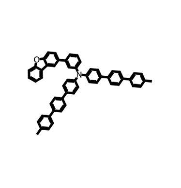 Cc1ccc(-c2ccc(-c3ccc(N(c4ccc(-c5ccc(-c6ccc(C)cc6)cc5)cc4)c4cccc(-c5ccc6oc7ccccc7c6c5)c4)cc3)cc2)cc1